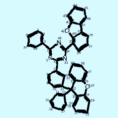 c1ccc(-c2nc(-c3cccc(C4(c5ccccc5)c5ccccc5Oc5ccccc54)c3)nc(-c3cccc4c3oc3ccccc34)n2)cc1